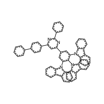 c1ccc(-c2ccc(-c3cc(-c4cc(-n5c6ccccc6c6ccccc65)c(-n5c6ccccc6c6ccccc65)c(-n5c6ccccc6c6ccccc65)c4)nc(-c4ccccc4)n3)cc2)cc1